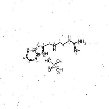 N=C(N)NCCNCc1nc2ccccc2[nH]1.O=S(=O)(O)O